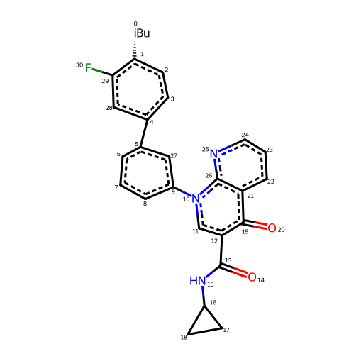 CC[C@@H](C)c1ccc(-c2cccc(-n3cc(C(=O)NC4CC4)c(=O)c4cccnc43)c2)cc1F